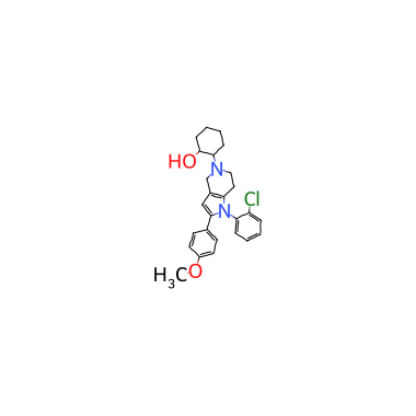 COc1ccc(-c2cc3c(n2-c2ccccc2Cl)CCN(C2CCCCC2O)C3)cc1